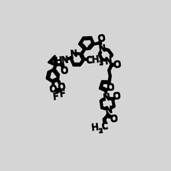 C=CC(=O)N1CCN(c2ccc(CCC(=O)N3CCN(C(=O)c4cccc(-c5nc(NC(=O)C6(c7ccc8c(c7)OC(F)(F)O8)CC6)ccc5C)c4)CC3)o2)C(=O)C1